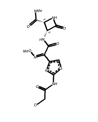 CNC(=O)[C@@H]1NC(=O)[C@@H]1NC(=O)C(=NOC)c1csc(NC(=O)CCl)n1